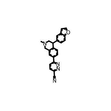 CN1Cc2cc(-c3ccc(C#N)nn3)ccc2C(c2ccc3occc3c2)C1